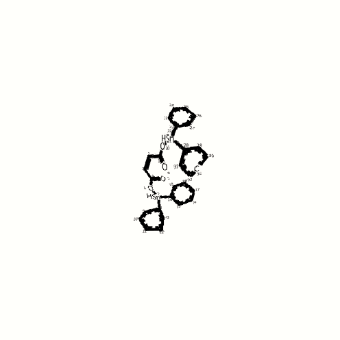 O=C(/C=C\C(=O)[O][SnH]([c]1ccccc1)[c]1ccccc1)[O][SnH]([c]1ccccc1)[c]1ccccc1